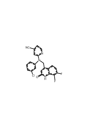 N#Cc1ccnc(N(Cc2cc(=O)[nH]c3c(F)c(F)ccc23)c2cccc(Cl)c2)c1